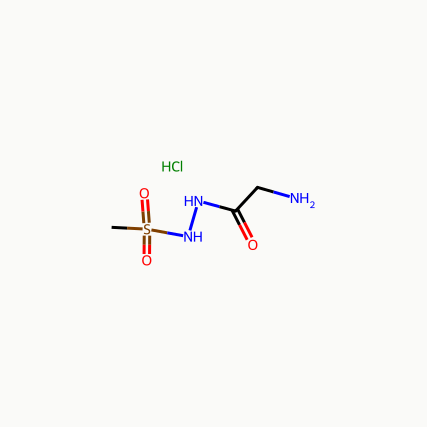 CS(=O)(=O)NNC(=O)CN.Cl